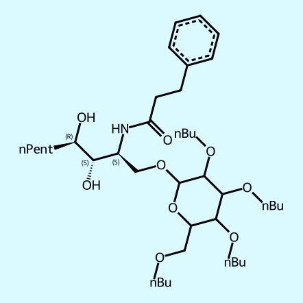 CCCCC[C@@H](O)[C@@H](O)[C@H](COC1OC(COCCCC)C(OCCCC)C(OCCCC)C1OCCCC)NC(=O)CCc1ccccc1